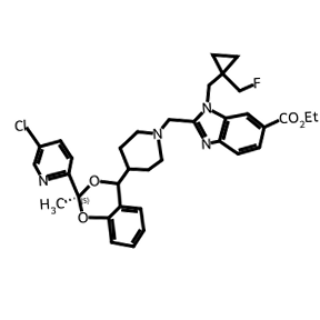 CCOC(=O)c1ccc2nc(CN3CCC(C4O[C@](C)(c5ccc(Cl)cn5)Oc5ccccc54)CC3)n(CC3(CF)CC3)c2c1